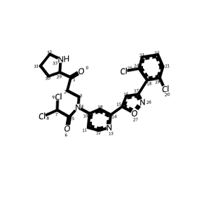 O=C(CCN(C(=O)C(Cl)Cl)c1ccnc(-c2cc(-c3c(Cl)cccc3Cl)no2)c1)C1CCCN1